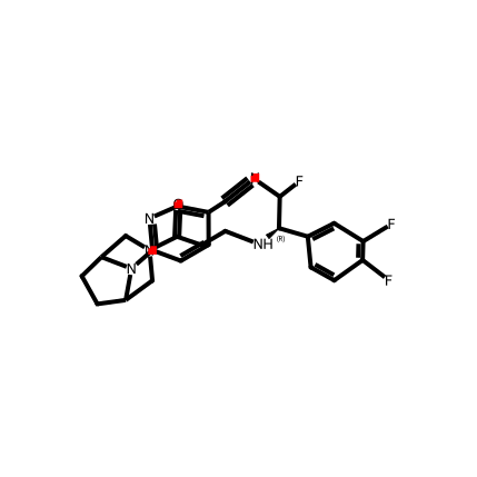 N#Cc1ccc(N2C3CCC2CN(C(=O)CCN[C@H](c2ccc(F)c(F)c2)C(F)F)C3)nc1